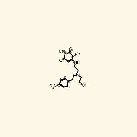 CCn1c(NCCN(CCO)CCc2ccc([N+](=O)[O-])cc2)cc(=O)n(CC)c1=O